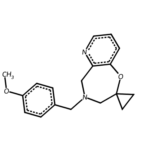 COc1ccc(CN2Cc3ncccc3OC3(CC3)C2)cc1